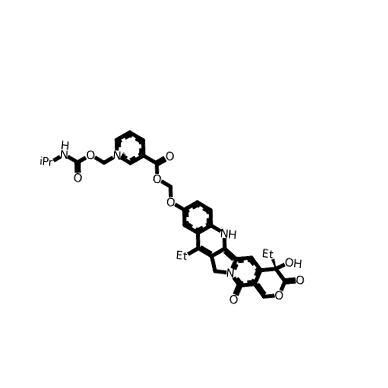 CCC1=C2Cn3c(cc4c(c3=O)=COC(=O)[C@]4(O)CC)=C2Nc2ccc(OCOC(=O)c3ccc[n+](COC(=O)NC(C)C)c3)cc21